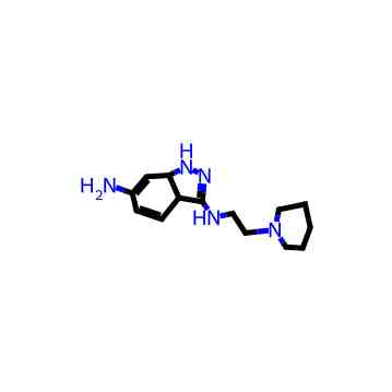 NC1=CC2NN=C(NCCN3CCCCC3)C2C=C1